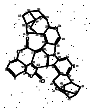 O=c1oc2cccc3oc(=O)c4c(c1c1c5c6c(ncc5n5c7cnc8c(c7c4c15)C1CC4CC5CC8CC54C1)C1CC4CC(C1)CC6C4)c23